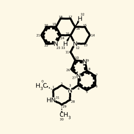 C[C@@H]1CN(c2cccc3nc(CN4CCC[C@H]5CCc6cccnc6[C@H]54)cn23)C[C@H](C)N1